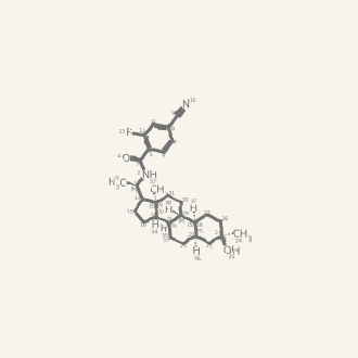 C[C@@H](NC(=O)c1ccc(C#N)cc1F)C1CC[C@H]2[C@@H]3CC[C@@H]4C[C@](C)(O)CC[C@@H]4[C@H]3CC[C@]12C